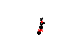 CCc1cc(-c2ccc(C(=O)OC3CCC(C)CC3)cc2)ccc1OCC(C)CC